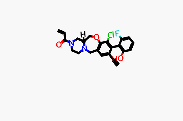 C#Cc1cc2c(c(Cl)c1-c1c(O)cccc1F)OC[C@H]1CN(C(=O)C=C)CCN1C2